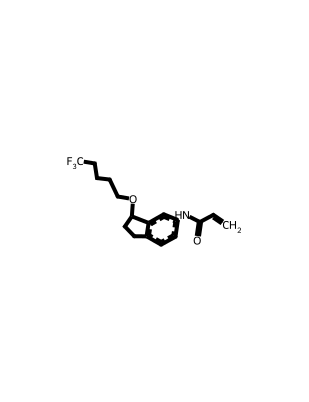 C=CC(=O)Nc1ccc2c(c1)C(OCCCCC(F)(F)F)CC2